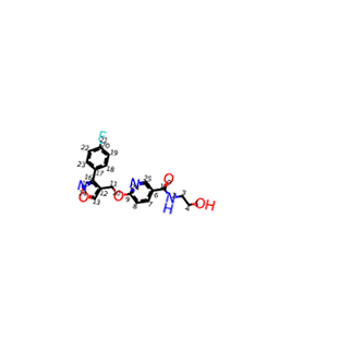 O=C(NCCO)c1ccc(OCc2conc2-c2ccc(F)cc2)nc1